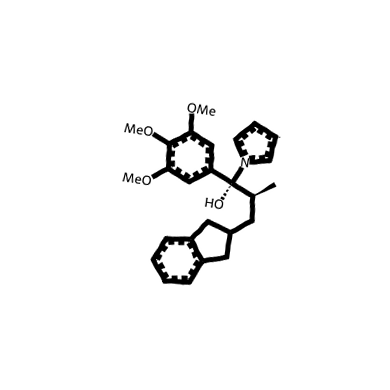 COc1cc([C@](O)([C@@H](C)CC2Cc3ccccc3C2)n2c[c]cc2)cc(OC)c1OC